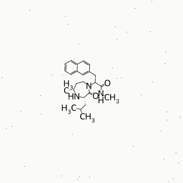 CNC(=O)C(Cc1ccc2ccccc2c1)N1CC[C@@H](C)N[C@@H](CC(C)C)C1=O